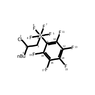 CCCCC(Cl)CS(F)(F)(F)(F)c1c(F)c(F)c(F)c(F)c1F